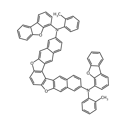 Cc1ccccc1N(c1ccc2cc3c(cc2c1)oc1ccc2oc4cc5cc(N(c6ccccc6C)c6cccc7c6oc6ccccc67)ccc5cc4c2c13)c1cccc2c1oc1ccccc12